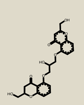 O=C1CC(CO)Oc2cccc(OCC(O)COc3cccc4oc(CO)cc(=O)c34)c21